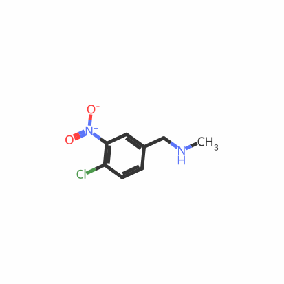 CNCc1ccc(Cl)c([N+](=O)[O-])c1